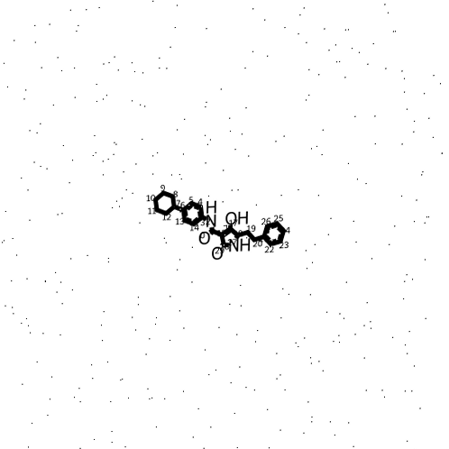 O=C(Nc1ccc(C2CCCCC2)cc1)C1=C(O)C(CCc2ccccc2)NC1=O